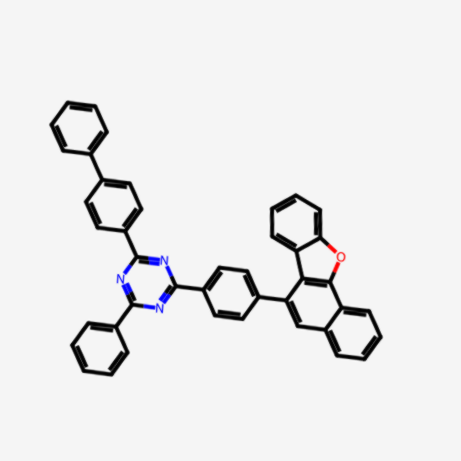 c1ccc(-c2ccc(-c3nc(-c4ccccc4)nc(-c4ccc(-c5cc6ccccc6c6oc7ccccc7c56)cc4)n3)cc2)cc1